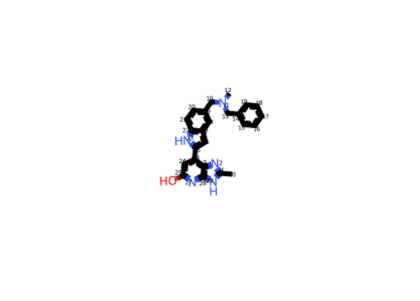 Cc1nc2c(-c3cc4cc(CN(C)Cc5ccccc5)ccc4[nH]3)cc(O)nc2[nH]1